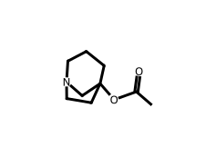 CC(=O)OC12CCCN(CC1)C2